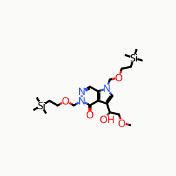 COCC(O)c1cn(COCC[Si](C)(C)C)c2cnn(COCC[Si](C)(C)C)c(=O)c12